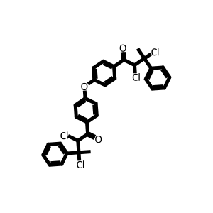 CC(Cl)(c1ccccc1)C(Cl)C(=O)c1ccc(Oc2ccc(C(=O)C(Cl)C(C)(Cl)c3ccccc3)cc2)cc1